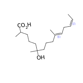 C/C=C\C/C=C(\C)CCCC(C)(O)CCCC(C)C(=O)O